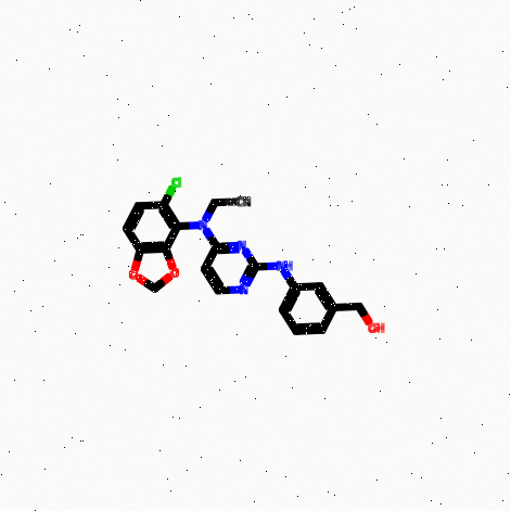 N#CCN(c1ccnc(Nc2cccc(CO)c2)n1)c1c(Cl)ccc2c1OCO2